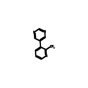 FC(F)(F)c1ncccc1-c1cncnc1